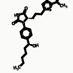 CCCCC[C@H](O)c1ccc(N2C(=O)NC(=O)[C@@H]2CCCc2ccc(C(C)=O)s2)cc1